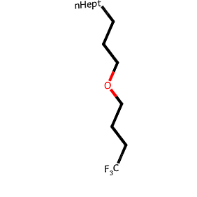 CCCCCCCCCCOCCCC(F)(F)F